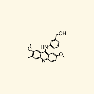 COc1ccc2nc3cc(C)c(OC)cc3c(Nc3cccc(CO)c3)c2c1